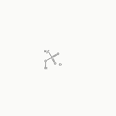 CCOS(C)(=O)=O.[Cr]